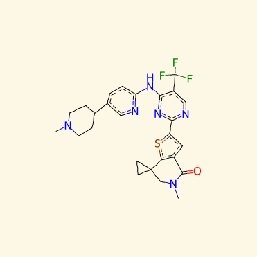 CN1CCC(c2ccc(Nc3nc(-c4cc5c(s4)C4(CC4)CN(C)C5=O)ncc3C(F)(F)F)nc2)CC1